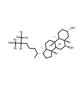 [2H]C([2H])([2H])C([2H])(CCCC(C)[C@H]1CC[C@H]2[C@@H]3C[C@H](O)[C@H]4C[C@@H](O)CC[C@]4(C)[C@H]3CC[C@]12C)C([2H])([2H])[2H]